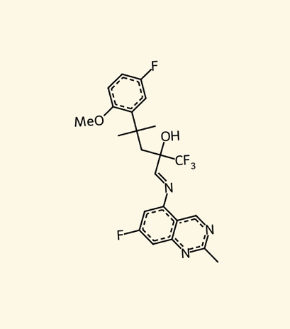 COc1ccc(F)cc1C(C)(C)CC(O)(C=Nc1cc(F)cc2nc(C)ncc12)C(F)(F)F